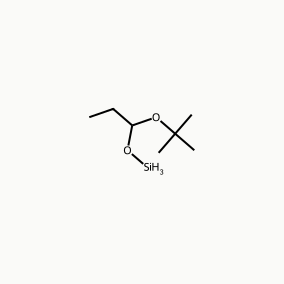 CCC(O[SiH3])OC(C)(C)C